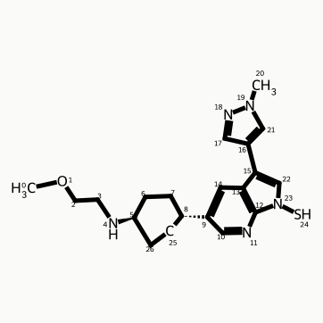 COCCN[C@H]1CC[C@H](c2cnc3c(c2)c(-c2cnn(C)c2)cn3S)CC1